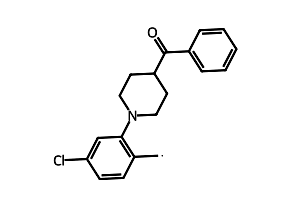 [CH2]c1ccc(Cl)cc1N1CCC(C(=O)c2ccccc2)CC1